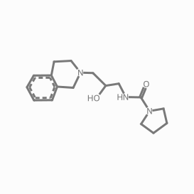 O=C(NCC(O)CN1CCc2ccccc2C1)N1CCCC1